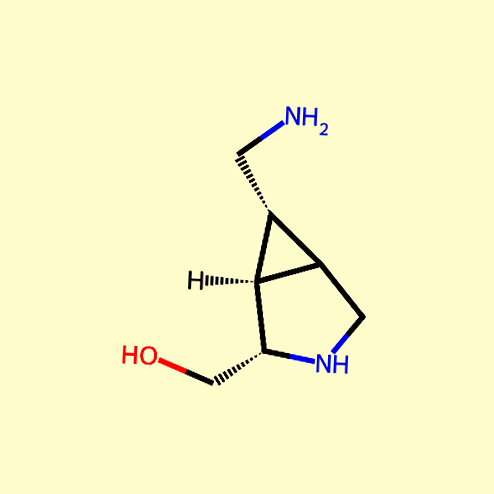 NC[C@@H]1C2CN[C@H](CO)[C@H]21